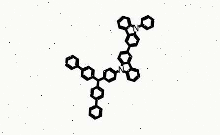 c1ccc(-c2ccc(C(c3ccc(-c4ccccc4)cc3)c3ccc(-n4c5ccccc5c5cc(-c6ccc7c(c6)c6ccccc6n7-c6ccccc6)ccc54)cc3)cc2)cc1